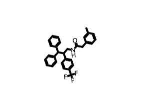 Cc1cccc(CC(=O)NCC(c2ccc(C(F)(F)F)cc2)C(c2ccccc2)c2ccccc2)c1